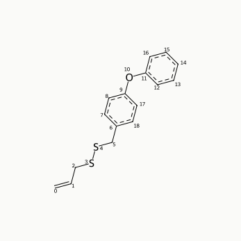 C=CCSSCc1ccc(Oc2ccccc2)cc1